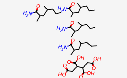 CCCC(C)CC(C)C(N)=O.CCCC(C)CC(C)C(N)=O.CCCC(C)CC(C)C(N)=O.CCCC(C)CC(C)C(N)=O.O=C(O)CC(C(=O)O)C(CC(=O)O)C(=O)O